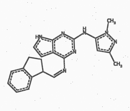 Cc1cc(Nc2nc(/N=C\C3CCc4ccccc43)c3cc[nH]c3n2)n(C)n1